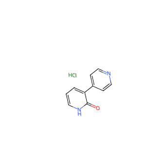 Cl.O=c1[nH]cccc1-c1ccncc1